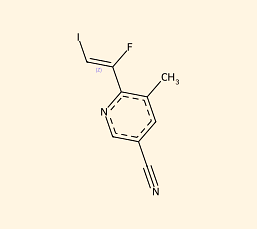 Cc1cc(C#N)cnc1/C(F)=C/I